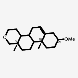 CO[C@H]1CC[C@@]2(C)C(=CCC3C4CCOC[C@@]4(C)CCC32)C1